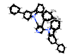 N#Cc1ccc(-c2c(-n3c4ccccc4c4cc(-c5ccccc5)ccc43)cncc2-n2c3ccccc3c3cc(-c4ccccc4)ccc32)cc1C#N